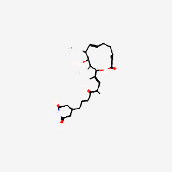 COC1/C=C/CC/C=C/C(=O)OC(/C(C)=C/C(C)C(=O)CCCC2CC(=O)NC(=O)C2)C(C)C1O